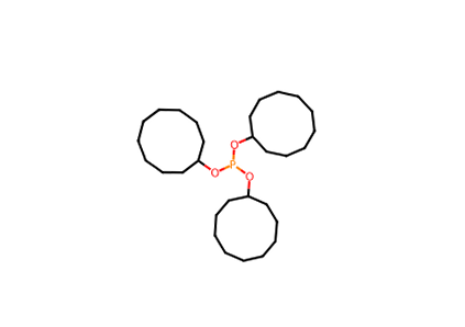 C1CCCCC(OP(OC2CCCCCCCCC2)OC2CCCCCCCCC2)CCCC1